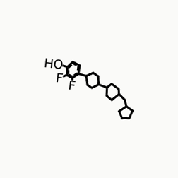 Oc1ccc(C2CCC(C3CCC(CC4CCCC4)CC3)CC2)c(F)c1F